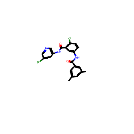 Cc1cc(C)cc(C(=O)Nc2ccc(Cl)c(C(=O)Nc3cncc(Br)c3)c2)c1